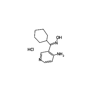 Cl.Nc1ccncc1/C(=N/O)C1CCCCC1